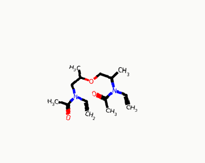 C=CN(CC(C)OCC(C)N(C=C)C(C)=O)C(C)=O